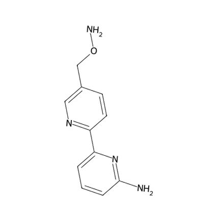 NOCc1ccc(-c2cccc(N)n2)nc1